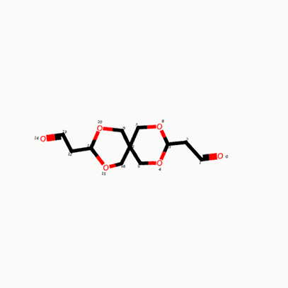 O=CCC1OCC2(CO1)COC(CC=O)OC2